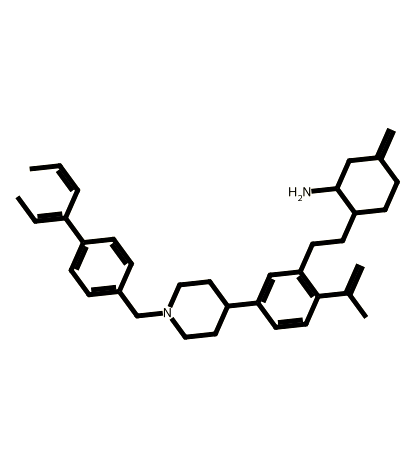 C=C1CCC(CCc2cc(C3CCN(Cc4ccc(C(/C=C\C)=C/C)cc4)CC3)ccc2C(=C)C)C(N)C1